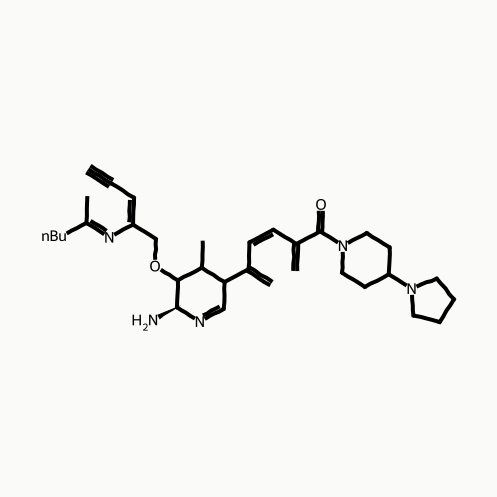 C#C/C=C(COC1C(C)C(C(=C)/C=C\C(=C)C(=O)N2CCC(N3CCCC3)CC2)C=N[C@H]1N)\N=C(/C)CCCC